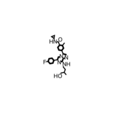 Cc1cc(-c2cnc3c(NCCC(C)CO)nc(-c4ccc(F)cc4)cn23)ccc1C(=O)NC1CC1